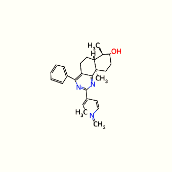 C=N/C=C\C(=C/C)c1nc(-c2ccccc2)c2c(n1)[C@]1(C)CCC(O)[C@H](C)[C@H]1CC2